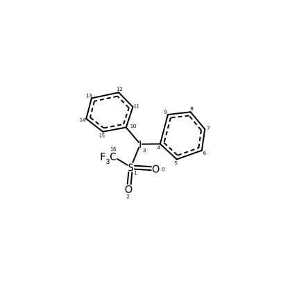 O=S(=O)(I(c1ccccc1)c1ccccc1)C(F)(F)F